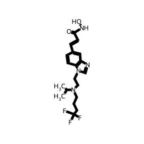 CC(C)N(CCCC(F)(F)F)CCn1cnc2cc(C=CC(=O)NO)ccc21